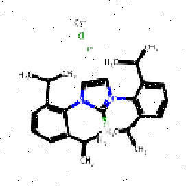 CC(C)c1cccc(C(C)C)c1-n1cc[n+](-c2c(C(C)C)cccc2C(C)C)c1Cl.[Cl-].[Cs+].[F-]